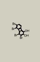 Oc1c(O)c2c(c(Br)c1Br)-c1c-2ccc(Br)c1Br